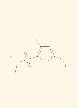 CNc1nc(Cl)c(S(=O)(=O)N(C)C)s1